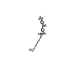 CCCCCCCCCCCCNC(=O)c1ccc(CNc2ccc(C(F)(F)F)cc2)cc1